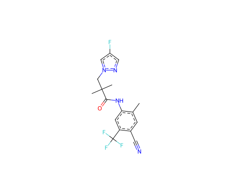 Cc1cc(C#N)c(C(F)(F)F)cc1NC(=O)C(C)(C)Cn1cc(F)cn1